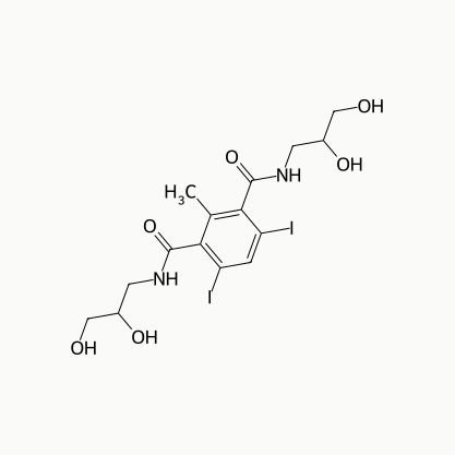 Cc1c(C(=O)NCC(O)CO)c(I)cc(I)c1C(=O)NCC(O)CO